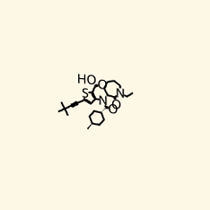 CCN1CCCC[C@@H](N(c2cc(C#CC(C)(C)C)sc2C(=O)O)C(=O)[C@H]2CC[C@H](C)CC2)C1=O